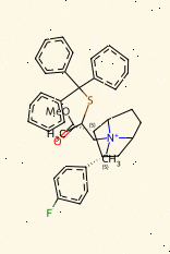 COC(=O)[C@@H]1C2CCC(C[C@@H]1c1ccc(F)cc1)[N+]2(C)CC(C)SC(c1ccccc1)(c1ccccc1)c1ccccc1